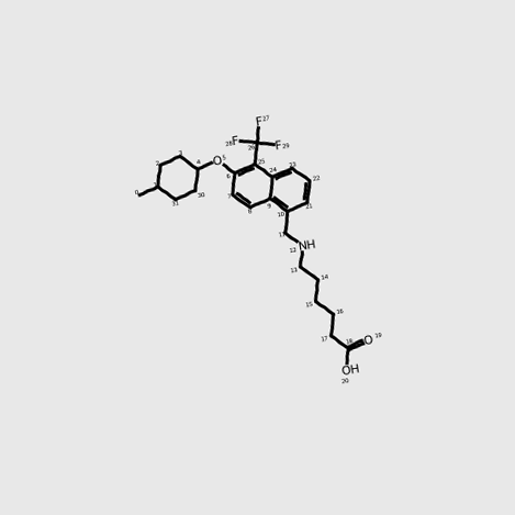 CC1CCC(Oc2ccc3c(CNCCCCCC(=O)O)cccc3c2C(F)(F)F)CC1